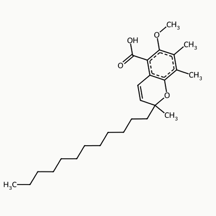 CCCCCCCCCCCCC1(C)C=Cc2c(c(C)c(C)c(OC)c2C(=O)O)O1